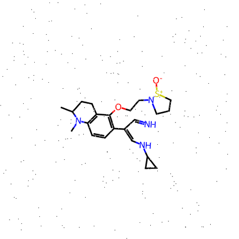 CC1CCc2c(ccc(/C(C=N)=C/NC3CC3)c2OCCN2CCC[S+]2[O-])N1C